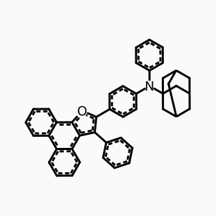 c1ccc(-c2c(-c3ccc(N(c4ccccc4)C45CC6CC(CC(C6)C4)C5)cc3)oc3c4ccccc4c4ccccc4c23)cc1